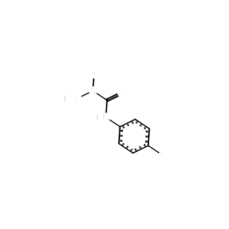 CN(C)C(=O)Nc1ccc(F)cc1